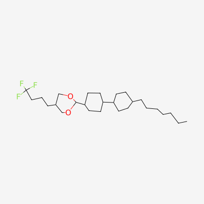 CCCCCCCC1CCC(C2CCC(C3OCC(CCCC(F)(F)F)CO3)CC2)CC1